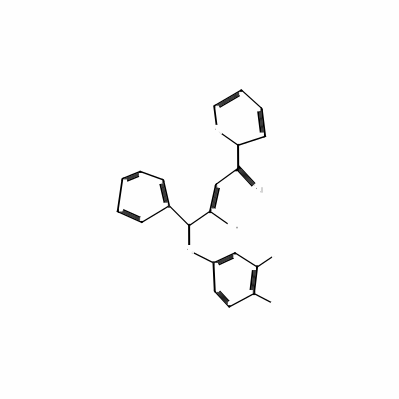 N=C(/C=C(\O)C(Nc1ccc(Cl)c(Cl)c1)c1ccccc1)C1C=CC=CN1